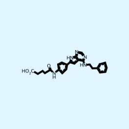 O=C(O)CCCC(=O)Nc1ccc(-c2cc3c(NCCc4ccccc4)ncnc3[nH]2)cc1